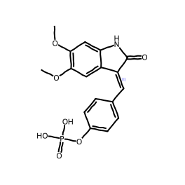 COc1cc2c(cc1OC)/C(=C\c1ccc(OP(=O)(O)O)cc1)C(=O)N2